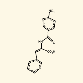 O=C(O)/C(=C\c1cccnc1)NC(=O)c1ccc([N+](=O)[O-])cc1